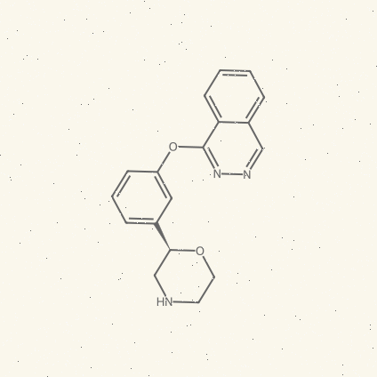 c1cc(Oc2nncc3ccccc23)cc([C@@H]2CNCCO2)c1